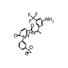 C[C@@H](NC(=O)c1ccc(=O)n(-c2cccc(S(C)(=O)=O)c2)n1)c1cc(N)cc(C(F)(F)F)c1